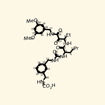 CCC(NC(=O)C(CC(C)C)NC(=O)NCc1cccc(CNC(=O)O)c1)C(=O)C(=O)NCc1cc(OC)cc(OC)c1